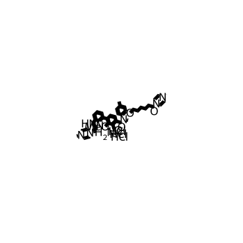 COc1c(-c2cccc3[nH]c(CN4CCN(C)CC4)nc23)ccc(C(=O)N(C)c2ccc(C)cc2OCCCCCC(=O)N2CCN(C)CC2)c1C(N)=O.Cl.Cl.Cl